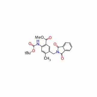 COC(=O)c1cc(CN2C(=O)c3ccccc3C2=O)c(C)cc1NC(=O)OC(C)(C)C